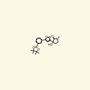 CN1CC[C@@](O)(c2cc(-c3cccc(B4OC(C)(C)C(C)(C)O4)c3)on2)C1=O